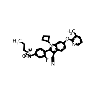 CCCS(=O)(=O)Nc1ccc(-c2c(C#N)c3ccc(Oc4ncccc4C)cc3n2C2CCC2)c(F)c1